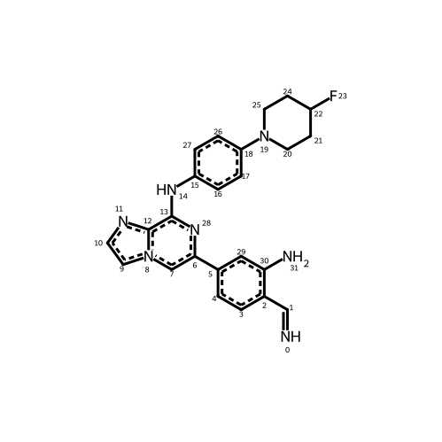 N=Cc1ccc(-c2cn3ccnc3c(Nc3ccc(N4CCC(F)CC4)cc3)n2)cc1N